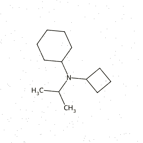 CC(C)N(C1CCCCC1)C1CCC1